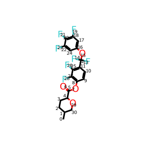 CC1CCC(C(=O)Oc2ccc(C(F)(F)Oc3cc(F)c(F)c(F)c3)c(F)c2F)OC1